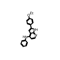 CCOc1ccc(-c2cc3c(Nc4cc[c]cc4)ccnc3[nH]2)cc1